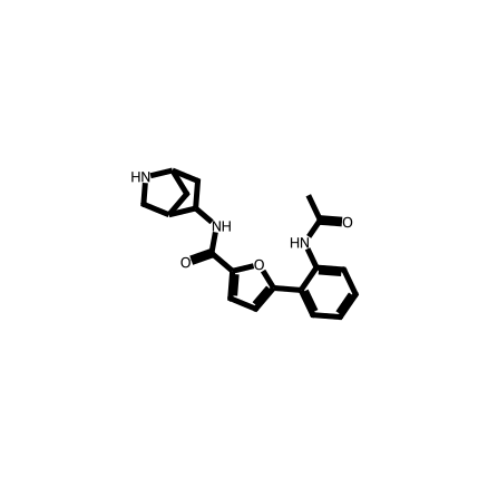 CC(=O)Nc1ccccc1-c1ccc(C(=O)NC2CC3CC2CN3)o1